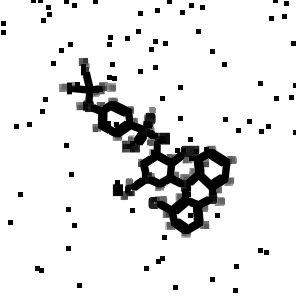 CN1CC(NS(=N)(=O)c2ccc(OC(F)(F)F)cc2)C(O)C(N2c3ccccc3Sc3cccc(Cl)c32)C1